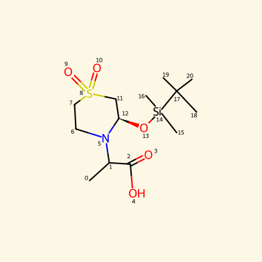 CC(C(=O)O)N1CCS(=O)(=O)C[C@H]1O[Si](C)(C)C(C)(C)C